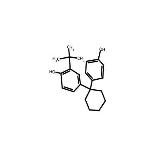 CC(C)(C)c1cc(C2(c3ccc(O)cc3)CCCCC2)ccc1O